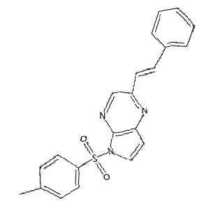 Cc1ccc(S(=O)(=O)n2ccc3nc(C=Cc4ccccc4)cnc32)cc1